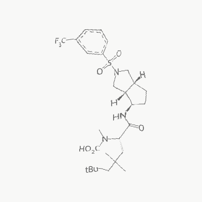 CN(C(=O)O)[C@@H](CC(C)(C)CC(C)(C)C)C(=O)N[C@@H]1CC[C@H]2CN(S(=O)(=O)c3cccc(C(F)(F)F)c3)C[C@H]21